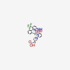 O=C(O)C1CC12CCN(c1cccc(S(=O)(=O)Nc3ccc(C(F)(F)F)c(-c4ccccc4C4CC4)n3)n1)C2